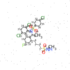 CNS(=O)(=O)CCCCc1cc(F)ccc1[C@@H](C)N(c1cc(Cl)ccc1Cl)S(=O)(=O)c1ccc(Cl)cc1